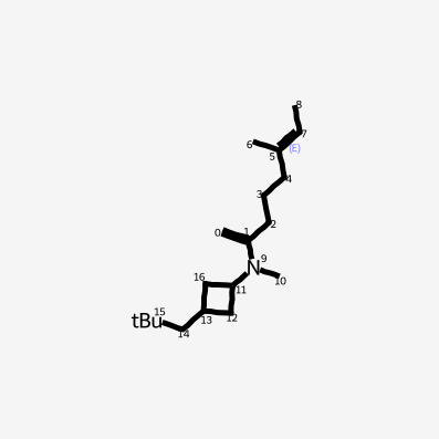 C=C(CCC/C(C)=C/C)N(C)C1CC(CC(C)(C)C)C1